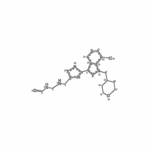 O=CNCNCc1nc(-c2cn(CC3CCOCC3)c3c(Cl)cccc23)ns1